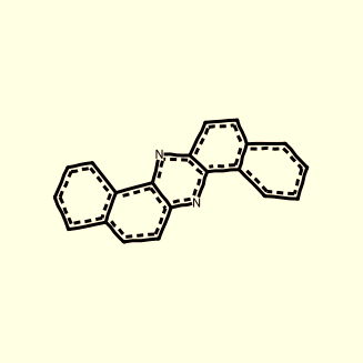 c1ccc2c(c1)ccc1nc3c(ccc4ccccc43)nc12